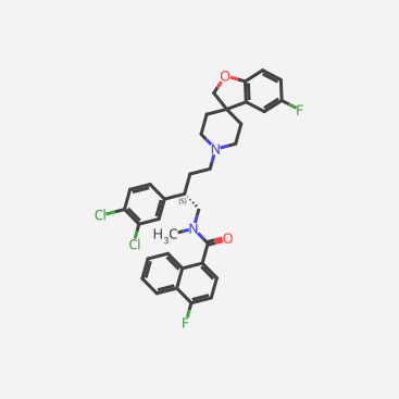 CN(C[C@@H](CCN1CCC2(CC1)COc1ccc(F)cc12)c1ccc(Cl)c(Cl)c1)C(=O)c1ccc(F)c2ccccc12